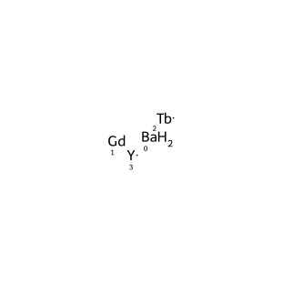 [BaH2].[Gd].[Tb].[Y]